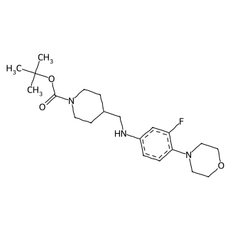 CC(C)(C)OC(=O)N1CCC(CNc2ccc(N3CCOCC3)c(F)c2)CC1